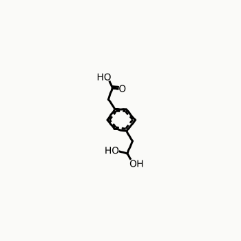 O=C(O)Cc1ccc(CC(O)O)cc1